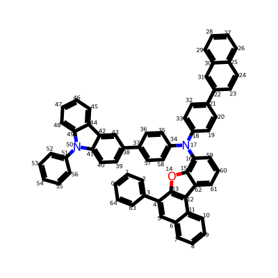 c1ccc(-c2cc3ccccc3c3c2oc2c(N(c4ccc(-c5ccc6ccccc6c5)cc4)c4ccc(-c5ccc6c(c5)c5ccccc5n6-c5ccccc5)cc4)cccc23)cc1